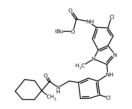 Cn1c(Nc2cc(CNC(=O)C3(C)CCCCC3)ccc2Cl)nc2cc(Cl)c(NC(=O)OC(C)(C)C)cc21